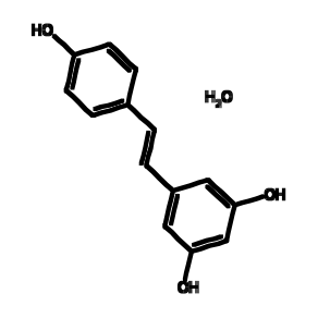 O.Oc1ccc(/C=C/c2cc(O)cc(O)c2)cc1